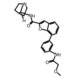 COCC(=O)Nc1cccc(-c2cccc3cc(C(=O)N[C@H]4CN5CCC4CC5)oc23)c1